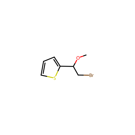 COC(CBr)c1cccs1